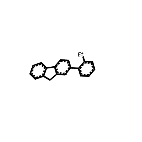 CCc1ccccc1-c1[c]c2c(cc1)-c1ccccc1C2